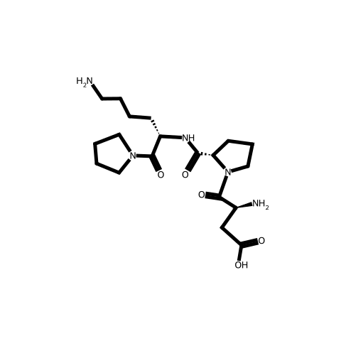 NCCCC[C@H](NC(=O)[C@@H]1CCCN1C(=O)[C@@H](N)CC(=O)O)C(=O)N1CCCC1